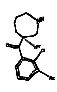 CCC[C@]1(C(=O)c2cccc(C(C)=O)c2Cl)CCCNC1